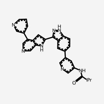 CC(C)C(=O)Nc1cncc(-c2ccc3[nH]nc(-c4cc5c(-c6cccnc6)cncc5[nH]4)c3c2)c1